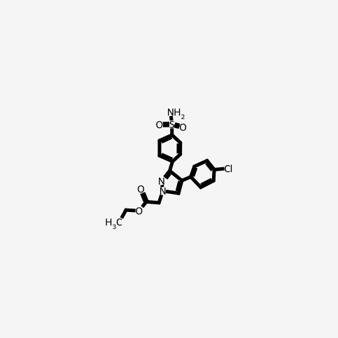 CCOC(=O)Cn1cc(-c2ccc(Cl)cc2)c(-c2ccc(S(N)(=O)=O)cc2)n1